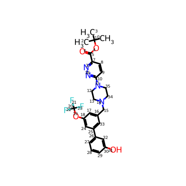 CC(C)(C)OC(=O)c1ccc(N2CCN(Cc3cc(OC(F)(F)F)cc(-c4cccc(O)c4)c3)CC2)nn1